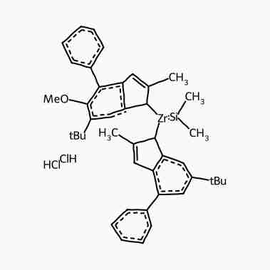 COc1c(C(C)(C)C)cc2c(c1-c1ccccc1)C=C(C)[CH]2[Zr]([CH]1C(C)=Cc2c(-c3ccccc3)cc(C(C)(C)C)cc21)=[Si](C)C.Cl.Cl